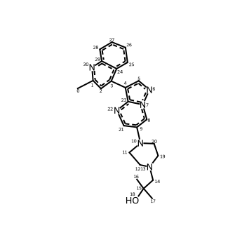 Cc1cc(-c2cnn3cc(N4CCN(CC(C)(C)O)CC4)cnc23)c2ccccc2n1